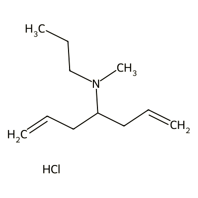 C=CCC(CC=C)N(C)CCC.Cl